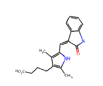 Cc1[nH]c(C=C2C(=O)[N]c3ccccc32)c(C)c1CCCC(=O)O